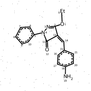 CCOC1=NN(c2ccccc2)C(=O)/C1=C\c1ccc(N)cc1